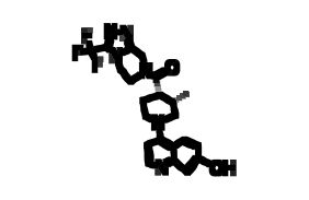 C[C@@H]1CN(c2ccnc3cc(O)ccc23)CC[C@@H]1C(=O)N1CCn2c(nnc2C(F)(F)F)C1